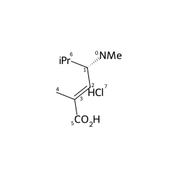 CN[C@H](/C=C(\C)C(=O)O)C(C)C.Cl